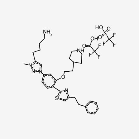 C[n+]1nn(-c2ccc(-c3nc(CCc4ccccc4)cs3)c(OCCC3CCNCC3)c2)cc1CCCCN.O=C(O)C(F)(F)F.O=S(=O)(O)C(F)(F)F